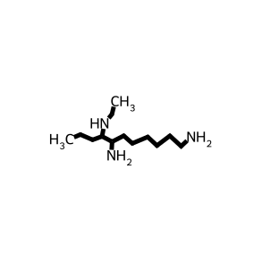 CCCC(NCC)C(N)CCCCCCN